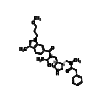 COCCCn1cc(C)c2ccc(C(=O)N(C[C@@H]3CNC[C@H]3CN(C)C(=O)Cc3ccccc3)C(C)C)cc21